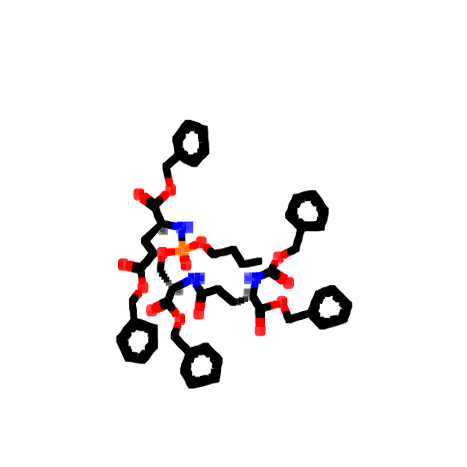 CCCCOP(=O)(N[C@@H](CCC(=O)OCc1ccccc1)C(=O)OCc1ccccc1)OC[C@H](NC(=O)CC[C@H](NC(=O)OCc1ccccc1)C(=O)OCc1ccccc1)C(=O)OCc1ccccc1